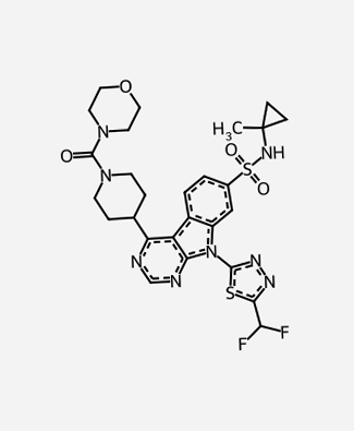 CC1(NS(=O)(=O)c2ccc3c4c(C5CCN(C(=O)N6CCOCC6)CC5)ncnc4n(-c4nnc(C(F)F)s4)c3c2)CC1